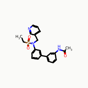 CCS(=O)(=O)N(Cc1cccnc1)c1cccc(-c2cccc(NC(C)=O)c2)c1